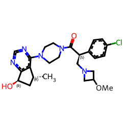 COC1CN(C[C@@H](C(=O)N2CCN(c3ncnc4c3[C@H](C)C[C@H]4O)CC2)c2ccc(Cl)cc2)C1